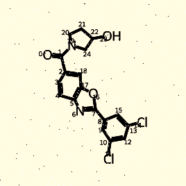 O=C(c1ccc2nc(-c3cc(Cl)cc(Cl)c3)oc2c1)N1CCC(O)C1